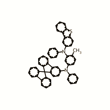 Cc1ccc(N(c2ccccc2)c2ccc3c(c2)-c2ccccc2C32c3ccccc3-c3ccccc32)cc1N(c1ccccc1)c1ccc2sc3ccccc3c2c1